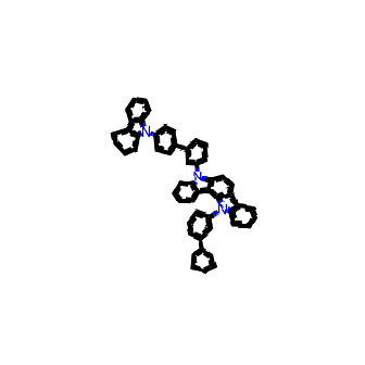 c1ccc(-c2cccc(-n3c4ccccc4c4ccc5c(c6ccccc6n5-c5cccc(-c6ccc(-n7c8ccccc8c8ccccc87)cc6)c5)c43)c2)cc1